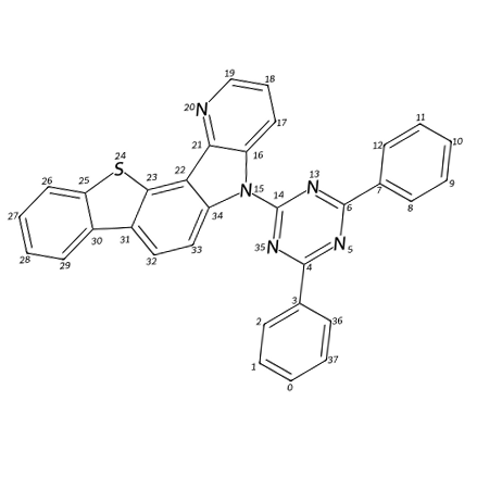 c1ccc(-c2nc(-c3ccccc3)nc(-n3c4cccnc4c4c5sc6ccccc6c5ccc43)n2)cc1